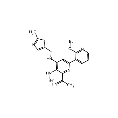 CCOc1ncccc1-c1cc(NCc2cnc(C)s2)c(NC(C)C)c(C(C)=N)n1